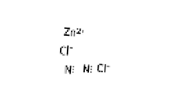 [Cl-].[Cl-].[N].[N].[Zn+2]